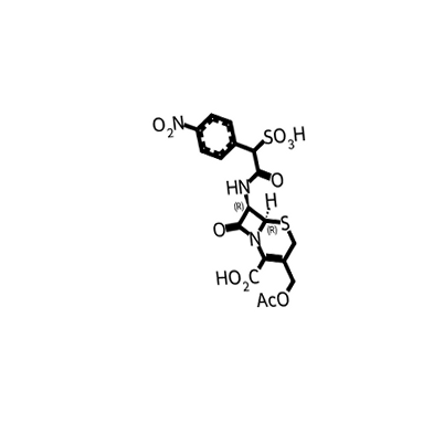 CC(=O)OCC1=C(C(=O)O)N2C(=O)[C@@H](NC(=O)C(c3ccc([N+](=O)[O-])cc3)S(=O)(=O)O)[C@H]2SC1